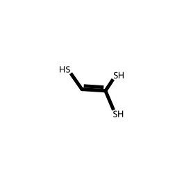 SC=C(S)S